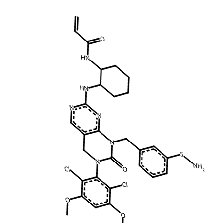 C=CC(=O)NC1CCCCC1Nc1ncc2c(n1)N(Cc1cccc(SN)c1)C(=O)N(c1c(Cl)c(OC)cc(OC)c1Cl)C2